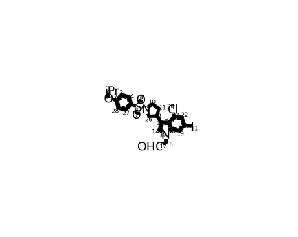 CC(C)Oc1ccc(S(=O)(=O)N2CCC(c3cn(CC=O)c4cc(I)cc(Cl)c34)C2)cc1